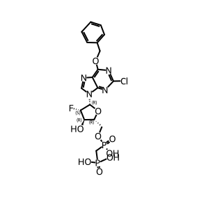 O=P(O)(O)CP(=O)(O)OC[C@H]1O[C@@H](n2cnc3c(OCc4ccccc4)nc(Cl)nc32)[C@@H](F)[C@@H]1O